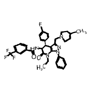 CCN1C(=O)C(NC(=O)c2cccc(C(F)(F)F)c2)[C@@H](c2ccc(F)cc2)c2c(CN3CCC(C)CC3)nn(-c3ccccc3)c21